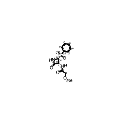 O=C(C[O][Re])N[C@@H]1C(=O)N[C@H]1S(=O)(=O)c1ccccc1